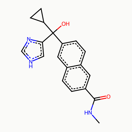 CNC(=O)c1ccc2cc(C(O)(c3c[nH]cn3)C3CC3)ccc2c1